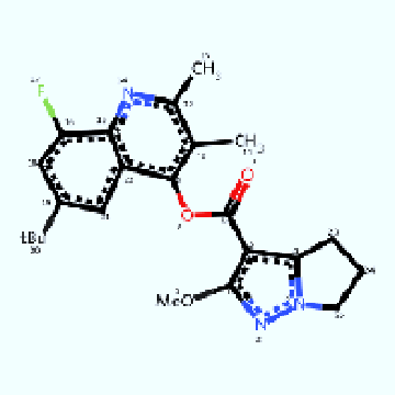 COc1nn2c(c1C(=O)Oc1c(C)c(C)nc3c(F)cc(C(C)(C)C)cc13)CCC2